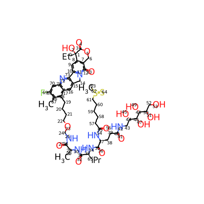 CC[C@@]1(O)C(=O)OCc2c1cc1n(c2=O)Cc2cc3c(CCCCOCNC(=O)[C@H](C)NC(=O)[C@@H](NC(=O)[C@H](CCC(=O)NC[C@H](O)[C@@H](O)[C@H](O)[C@H](O)CO)NC(=O)CCCCCS(C)=S)C(C)C)c(C)c(F)cc3nc2-1